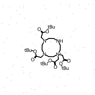 CC(C)(C)OC(=O)CN1CCNCC[N+](CC(=O)OC(C)(C)C)(CC(=O)OC(C)(C)C)CCN(CC(=O)OC(C)(C)C)CC1